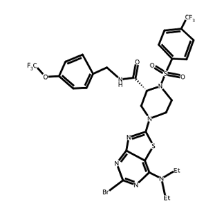 CCN(CC)c1nc(Br)nc2nc(N3CCN(S(=O)(=O)c4ccc(C(F)(F)F)cc4)[C@@H](C(=O)NCc4ccc(OC(F)(F)F)cc4)C3)sc12